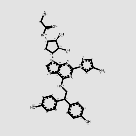 Nc1cnn(-c2nc(NCC(c3ccc(O)cc3)c3ccc(O)cc3)c3ncn([C@@H]4C[C@H](NC(=O)CO)[C@@H](O)[C@H]4O)c3n2)c1